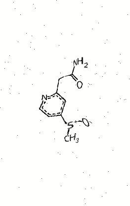 C[S+]([O-])c1ccnc(CC(N)=O)c1